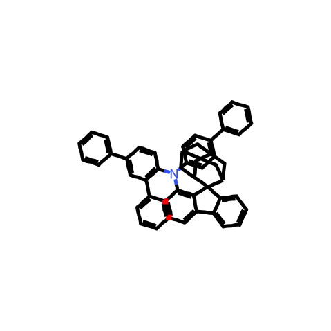 c1ccc(-c2ccc(N(c3ccc(-c4ccccc4)cc3-c3ccccc3)c3cccc4c3C3(c5ccccc5-4)C4CC5CC(C4)CC3C5)cc2)cc1